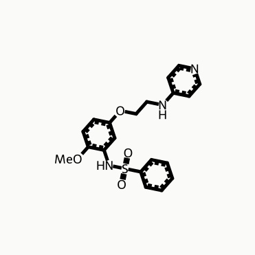 COc1ccc(OCCNc2ccncc2)cc1NS(=O)(=O)c1ccccc1